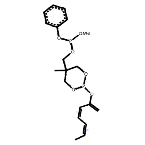 C=C(/C=C\C=C/C)OP1OCC(C)(COP(OC)Oc2ccccc2)CO1